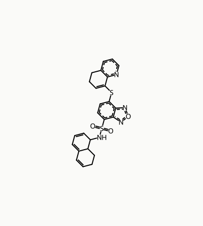 O=S(=O)(NC1C=CC=C2C=CCCC21)c1ccc(SC2=CCCc3cccnc32)c2nonc12